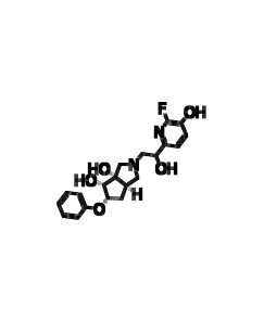 Oc1ccc(C(O)CN2C[C@H]3C[C@H](Oc4ccccc4)[C@H](O)[C@@]3(O)C2)nc1F